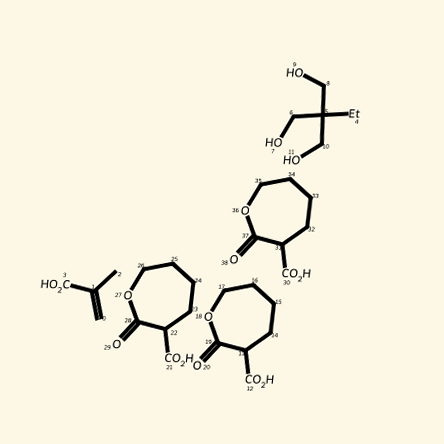 C=C(C)C(=O)O.CCC(CO)(CO)CO.O=C(O)C1CCCCOC1=O.O=C(O)C1CCCCOC1=O.O=C(O)C1CCCCOC1=O